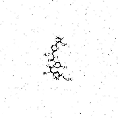 Cc1ncsc1-c1ccc([C@H](C)NC(=O)[C@@H]2C[C@@H](O)CN2C(=O)[C@@H](c2cc(OCC=O)no2)C(C)C)cn1